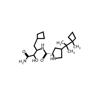 CC1(C(C)(C)C2CN[C@H](C(=O)NC(CC3CCC3)C(O)C(N)=O)C2)CCC1